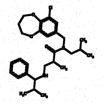 CC(C)CN(Cc1cc(Cl)c2c(c1)OCCCO2)C(=O)C(C)CNC(c1ccccc1)C(C)C